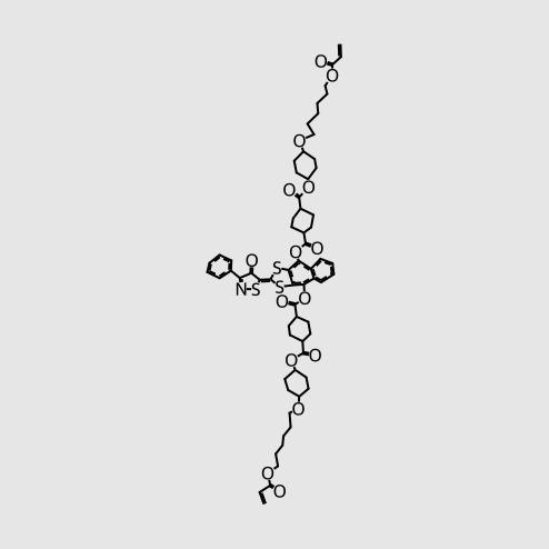 C=CC(=O)OCCCCCCOC1CCC(OC(=O)C2CCC(C(=O)Oc3c4c(c(OC(=O)C5CCC(C(=O)OC6CCC(OCCCCCCOC(=O)C=C)CC6)CC5)c5ccccc35)SC(=C3SN=C(c5ccccc5)C3=O)S4)CC2)CC1